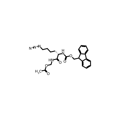 CC(=O)OCNC(=O)[C@H](CCCCN=[N+]=[N-])NC(=O)OCC1c2ccccc2-c2ccccc21